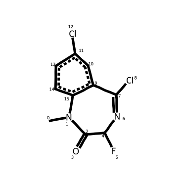 CN1C(=O)C(F)N=C(Cl)c2cc(Cl)ccc21